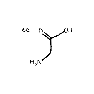 NCC(=O)O.[Se]